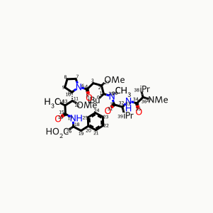 CCC(C)C(C(CC(=O)N1CCC[C@H]1C(OC)C(C)C(=O)NC(Cc1ccccc1)C(=O)O)OC)N(C)C(=O)C(NC(=O)C(NC)C(C)C)C(C)C